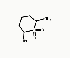 CC(C)(C)C1CCCN(N)S1(=O)=O